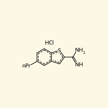 CCCc1ccc2sc(C(=N)N)cc2c1.Cl